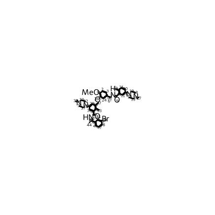 COc1ccc([C@@H](C)NC(=O)c2cc(N3CCN(C)CC3)ccc2C)cc1OCc1cc(N2CCN(C)CC2)cc(C(=O)N[C@H](C)c2cccc(Br)c2)c1C